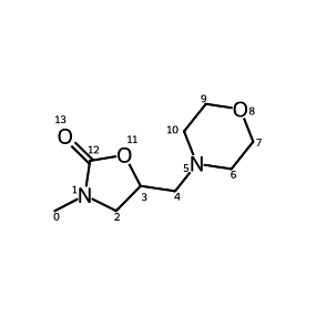 CN1CC(CN2CCOCC2)OC1=O